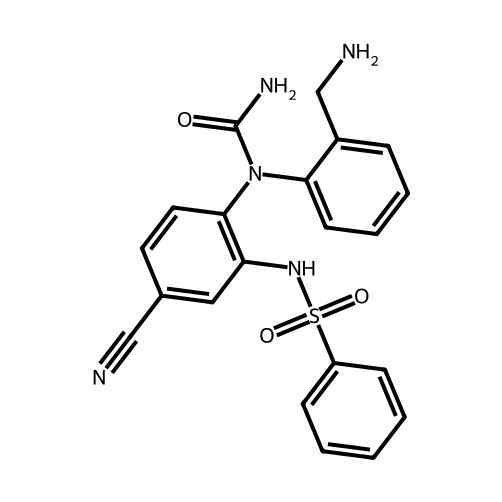 N#Cc1ccc(N(C(N)=O)c2ccccc2CN)c(NS(=O)(=O)c2ccccc2)c1